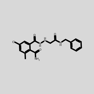 Cc1cc(Cl)cc(C(=O)NNCC(=O)NCc2ccccc2)c1C(N)=O